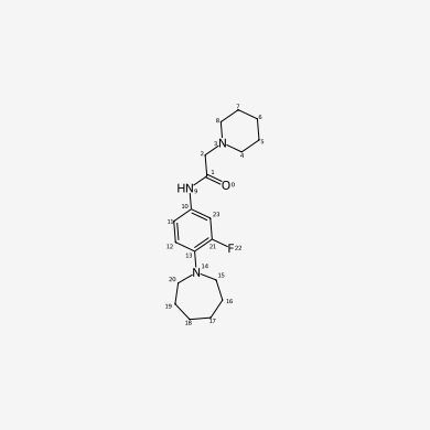 O=C(CN1CCCCC1)Nc1ccc(N2CCCCCC2)c(F)c1